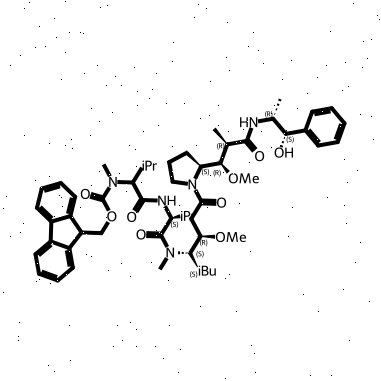 CC[C@H](C)[C@@H]([C@@H](CC(=O)N1CCC[C@H]1[C@H](OC)[C@@H](C)C(=O)N[C@H](C)[C@@H](O)c1ccccc1)OC)N(C)C(=O)[C@@H](NC(=O)C(C(C)C)N(C)C(=O)OCC1c2ccccc2-c2ccccc21)C(C)C